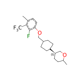 Cc1ccc(OCC2CCC([C@@H]3CCC(C)OC3)CC2)c(F)c1C(F)(F)F